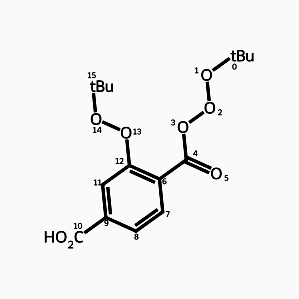 CC(C)(C)OOOC(=O)c1ccc(C(=O)O)cc1OOC(C)(C)C